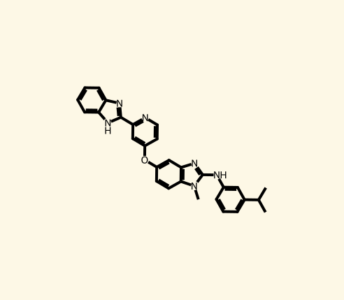 CC(C)c1cccc(Nc2nc3cc(Oc4ccnc(-c5nc6ccccc6[nH]5)c4)ccc3n2C)c1